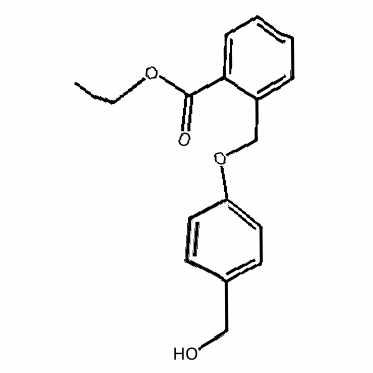 CCOC(=O)c1ccccc1COc1ccc(CO)cc1